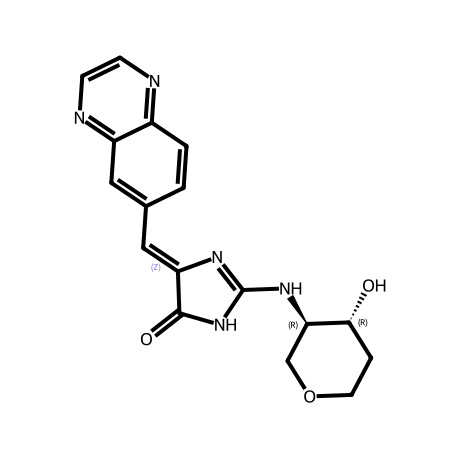 O=C1NC(N[C@@H]2COCC[C@H]2O)=N/C1=C\c1ccc2nccnc2c1